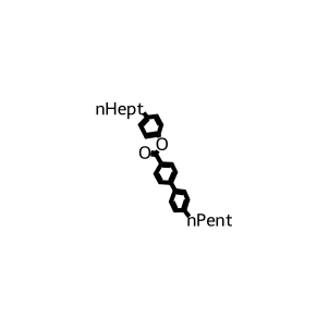 CCCCCCCc1ccc(OC(=O)c2ccc(-c3ccc(CCCCC)cc3)cc2)cc1